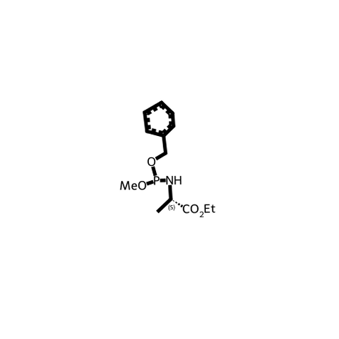 CCOC(=O)[C@H](C)NP(OC)OCc1ccccc1